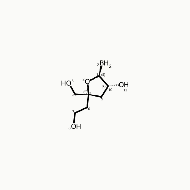 B[C@@H]1O[C@@](CO)(CCO)C[C@H]1O